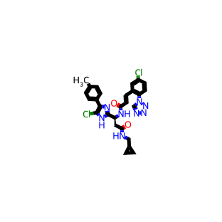 Cc1ccc(-c2nc([C@H](CC(=O)NCC3CC3)NC(=O)/C=C/c3cc(Cl)ccc3-n3cnnn3)[nH]c2Cl)cc1